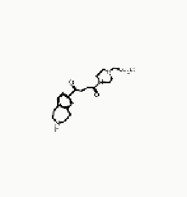 CCOC(=O)CN1CCN(C(=O)CCC(=O)c2ccc3c(c2)CCNCC3)CC1